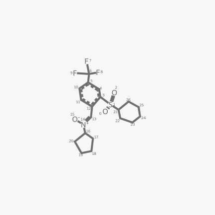 O=S(=O)(c1cc(C(F)(F)F)ccc1/C=[N+](\[O-])C1CCCC1)C1CCCCC1